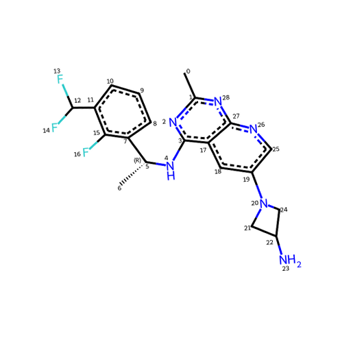 Cc1nc(N[C@H](C)c2cccc(C(F)F)c2F)c2cc(N3CC(N)C3)cnc2n1